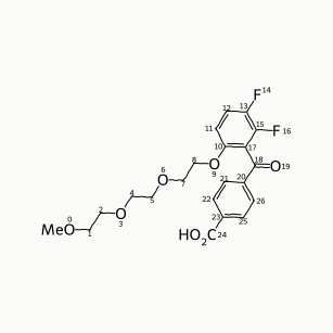 COCCOCCOCCOc1ccc(F)c(F)c1C(=O)c1ccc(C(=O)O)cc1